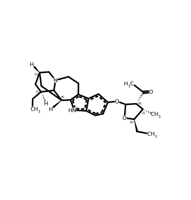 CC[C@H]1C[C@H]2C[C@H]3c4[nH]c5ccc(OC6O[C@H](CC)[C@@H](C)[C@H]6C(C)=O)cc5c4CCN(C2)C13